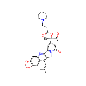 CCC1(OC(=O)CCN2CCCCC2)C(=O)Cc2c1cc1n(c2=O)Cc2c-1nc1cc3c(cc1c2C=C(C)C)OCO3